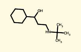 CC(C)(C)NCCC(O)C1CCCCC1